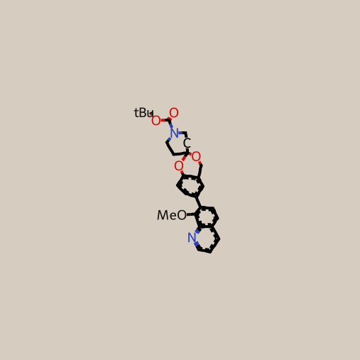 COc1c(-c2ccc3c(c2)COC2(CCN(C(=O)OC(C)(C)C)CC2)O3)ccc2cccnc12